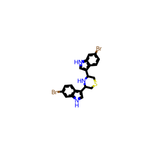 Brc1ccc2c(C3CSCC(c4c[nH]c5cc(Br)ccc45)N3)c[nH]c2c1